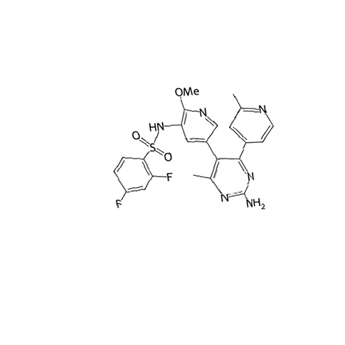 COc1ncc(-c2c(C)nc(N)nc2-c2ccnc(C)c2)cc1NS(=O)(=O)c1ccc(F)cc1F